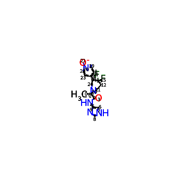 C[C@H](C(=O)Nc1c[nH]cn1)N1CCC(F)(F)[C@@H](c2cc[n+]([O-])cc2)C1